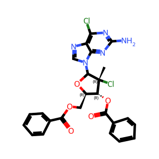 C[C@]1(Cl)C(n2cnc3c(Cl)nc(N)nc32)O[C@H](COC(=O)c2ccccc2)[C@H]1OC(=O)c1ccccc1